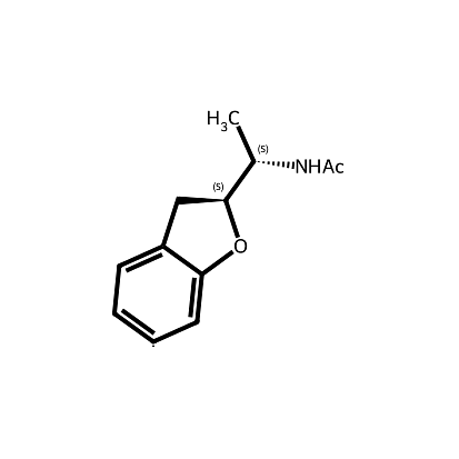 CC(=O)N[C@@H](C)[C@@H]1Cc2cc[c]cc2O1